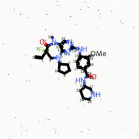 C=CC1(F)CN(C2CCCC2)c2nc(Nc3ccc(C(=O)NC4CCCNC4)cc3OC)ncc2N(C)C1=O